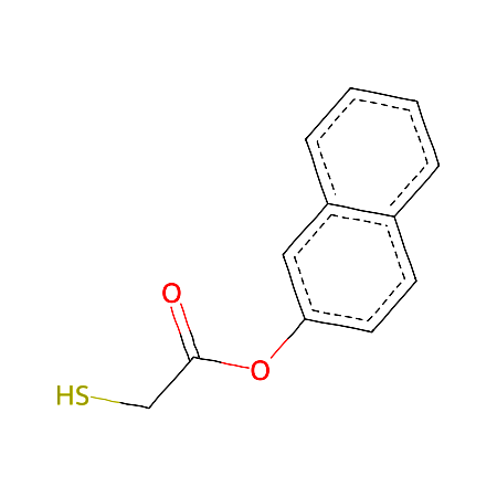 O=C(CS)Oc1ccc2ccccc2c1